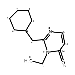 CCn1c(CC2CCCCC2)nccc1=O